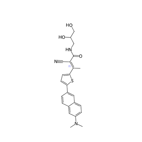 C/C(=C(/C#N)C(=O)NCC(O)CO)c1ccc(-c2ccc3cc(N(C)C)ccc3c2)s1